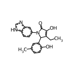 CCC1=C(O)C(=O)N(c2ccc3[nH]cnc3c2)C1c1cc(C)ccc1O